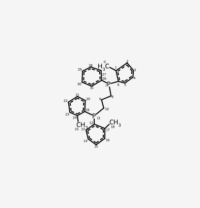 Cc1ccccc1P(CCCP(c1ccccc1C)c1ccccc1C)c1ccccc1